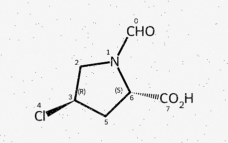 O=CN1C[C@H](Cl)C[C@H]1C(=O)O